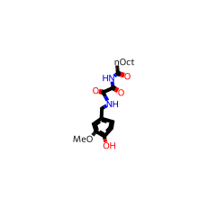 CCCCCCCCC(=O)NC(=O)C(=O)NCc1ccc(O)c(OC)c1